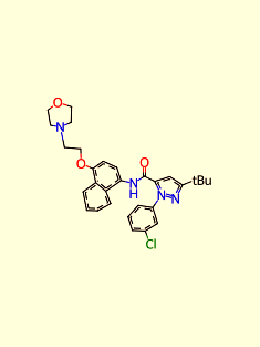 CC(C)(C)c1cc(C(=O)Nc2ccc(OCCN3CCOCC3)c3ccccc23)n(-c2cccc(Cl)c2)n1